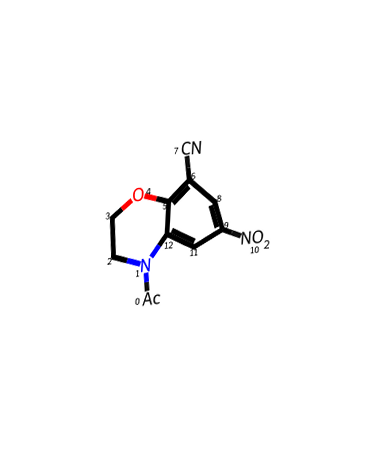 CC(=O)N1CCOc2c(C#N)cc([N+](=O)[O-])cc21